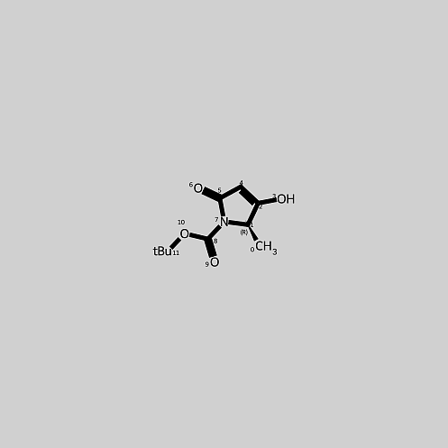 C[C@@H]1C(O)=CC(=O)N1C(=O)OC(C)(C)C